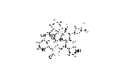 CC1([C@@H](C(=O)NC2CC(F)(F)C2)N(C(=O)[C@@H]2CCC(=O)N2c2cc(C#N)ccn2)c2ccc3[nH]ccc3c2)C=CC=CC1Cl